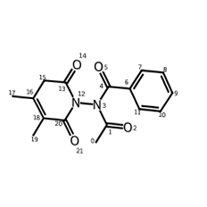 CC(=O)N(C(=O)c1ccccc1)N1C(=O)CC(C)=C(C)C1=O